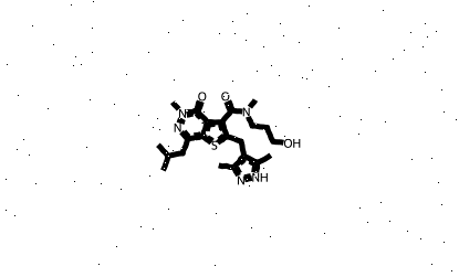 Cc1n[nH]c(C)c1Cc1sc2c(CC(C)C)nn(C)c(=O)c2c1C(=O)N(C)CCCO